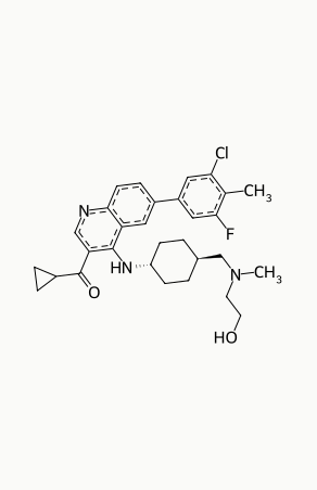 Cc1c(F)cc(-c2ccc3ncc(C(=O)C4CC4)c(N[C@H]4CC[C@H](CN(C)CCO)CC4)c3c2)cc1Cl